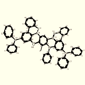 Cc1c2c(cc3c1N(c1ccccc1)c1cc(N(c4ccccc4)c4ccccc4)cc4c1B3Sc1ccccc1-4)B1Sc3ccccc3-c3cc(N(c4ccccc4)c4ccccc4)cc(c31)O2